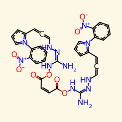 NC(=NNC=C=Cc1cccn1-c1ccccc1[N+](=O)[O-])NOC(=O)/C=C\C(=O)ONC(N)=NNC=C=Cc1cccn1-c1ccccc1[N+](=O)[O-]